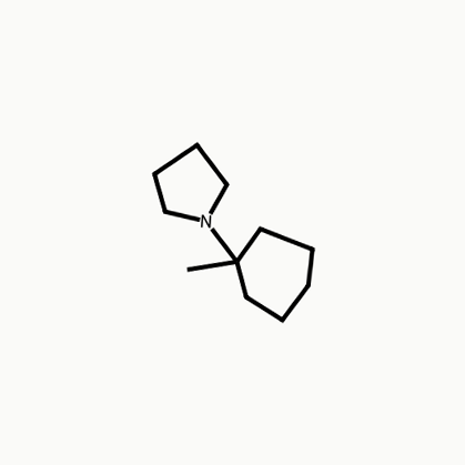 CC1(N2CCCC2)CCCCC1